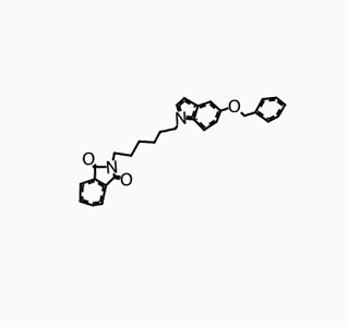 O=C1c2ccccc2C(=O)N1CCCCCCn1ccc2cc(OCc3ccccc3)ccc21